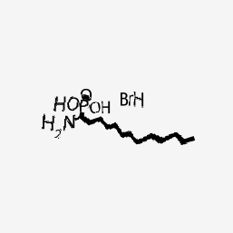 Br.CCCCCCCCCCCC[C@@H](N)P(=O)(O)O